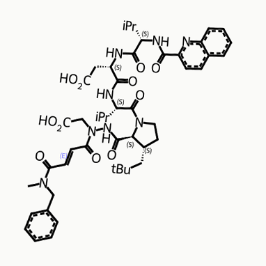 CC(C)[C@H](NC(=O)c1ccc2ccccc2n1)C(=O)N[C@@H](CC(=O)O)C(=O)N[C@H](C(=O)N1CC[C@H](CC(C)(C)C)[C@H]1C(=O)NN(CC(=O)O)C(=O)/C=C/C(=O)N(C)Cc1ccccc1)C(C)C